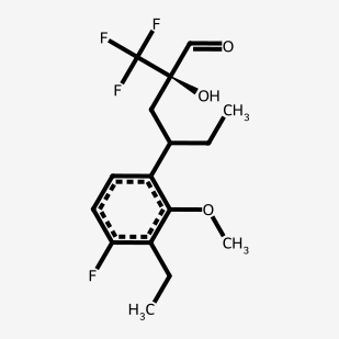 CCc1c(F)ccc(C(CC)C[C@@](O)(C=O)C(F)(F)F)c1OC